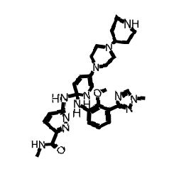 CNC(=O)c1ccc(NC2(Nc3cccc(-c4ncn(C)n4)c3OC)C=CC(N3CCN(C4CCNCC4)CC3)=CN2)nn1